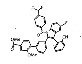 COC(=O)c1ccc(-c2cccc(-c3c(-c4ccccc4C#N)c4cc(F)ccc4n3[S+]([O-])c3ccc(C(F)F)cc3)c2)c(OC)c1